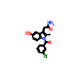 Cc1c(CC(N)=O)c2cc(O)ccc2n1C(=O)c1cccc(Cl)c1